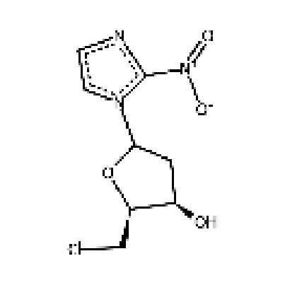 O=[N+]([O-])c1nccn1C1C[C@@H](O)[C@@H](CCl)O1